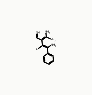 N=CC(=C(N)N)/C(Cl)=C(\N)c1ccccc1